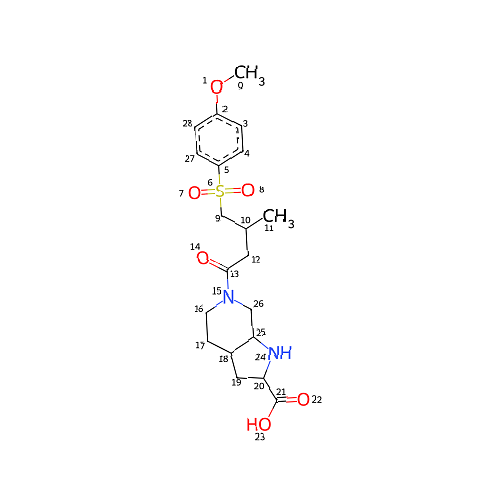 COc1ccc(S(=O)(=O)CC(C)CC(=O)N2CCC3CC(C(=O)O)NC3C2)cc1